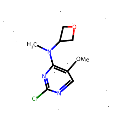 COc1cnc(Cl)nc1N(C)C1COC1